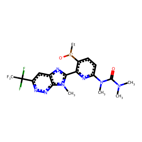 CC[S+]([O-])c1ccc(N(C)C(=O)N(C)C)nc1-c1nc2cc(C(F)(F)C(F)(F)F)nnc2n1C